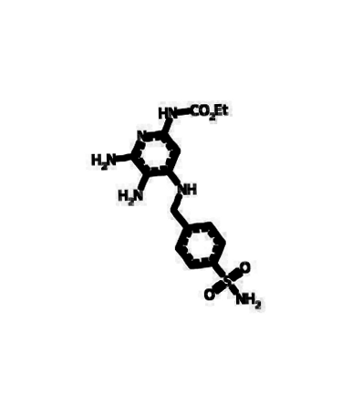 CCOC(=O)Nc1cc(NCc2ccc(S(N)(=O)=O)cc2)c(N)c(N)n1